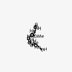 COc1cc(-c2nccc(-c3cccc(NC(=O)c4ccc(CNCCO)cc4F)c3C)c2Cl)ccc1CNCC1CCC(=O)N1